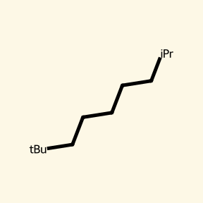 [CH2]C(C)CCCCCC([CH2])(C)C